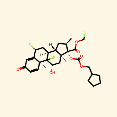 C[C@@H]1C[C@H]2[C@@H]3C[C@H](F)C4=CC(=O)C=C[C@]4(C)C3(F)[C@@H](O)C[C@]2(C)[C@]1(OC(=O)OCC1CCCC1)C(=O)OCF